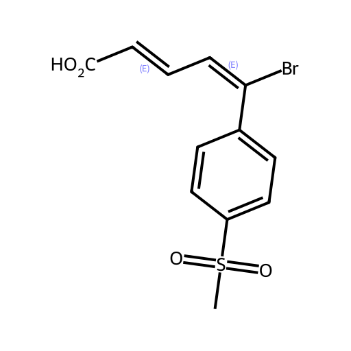 CS(=O)(=O)c1ccc(/C(Br)=C\C=C\C(=O)O)cc1